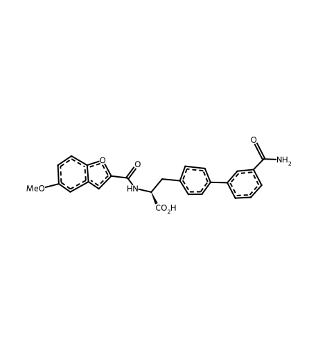 COc1ccc2oc(C(=O)N[C@@H](Cc3ccc(-c4cccc(C(N)=O)c4)cc3)C(=O)O)cc2c1